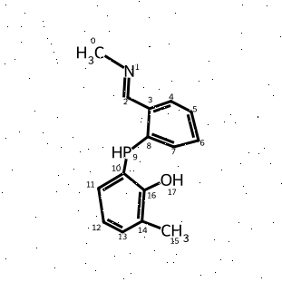 C/N=C/c1ccccc1Pc1cccc(C)c1O